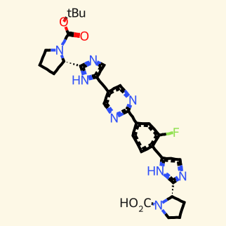 CC(C)(C)OC(=O)N1CCC[C@H]1c1ncc(-c2cnc(-c3ccc(-c4cnc([C@@H]5CCCN5C(=O)O)[nH]4)c(F)c3)nc2)[nH]1